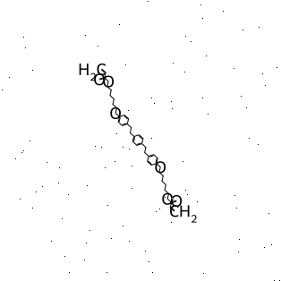 C=CC(=O)OCCCCCCOc1ccc(CCc2ccc(CCc3ccc(OCCCCCCOC(=O)C=C)cc3)cc2)cc1